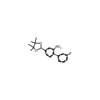 CC1(C)OB(c2ccc(-c3cccc(F)c3)c([N+](=O)[O-])c2)OC1(C)C